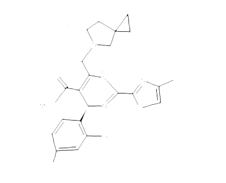 COC(=O)C1=C(CN2CC3(CC3)C[C@H]2C(=O)O)NC(c2nc(C)cs2)=N[C@H]1c1ccc(F)cc1Br